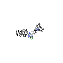 CC1(C)c2ccc(-c3nc(Cl)nc(-c4ccc(-n5c6ccccc6c6ccccc65)cc4)n3)cc2C(C)(C)C1(C)C